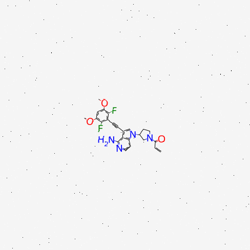 C=CC(=O)N1CCC(n2cc(C#Cc3c(F)c(OC)cc(OC)c3F)c3c(N)nccc32)C1